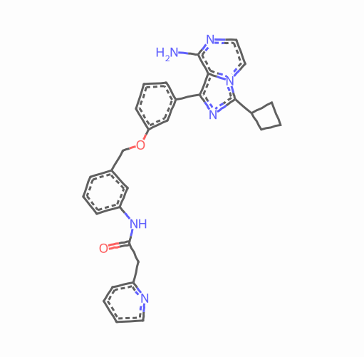 Nc1nccn2c(C3CCC3)nc(-c3cccc(OCc4cccc(NC(=O)Cc5ccccn5)c4)c3)c12